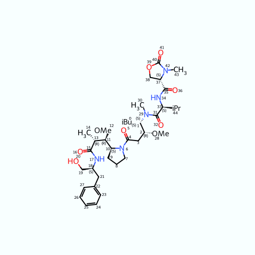 CC[C@H](C)[C@@H]([C@@H](CC(=O)N1CCC[C@H]1[C@H](OC)[C@@H](C)C(=O)N[C@H](CO)Cc1ccccc1)OC)N(C)C(=O)[C@@H](NC(=O)[C@@H]1COC(=O)N1C)C(C)C